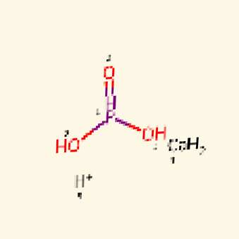 O=[PH](O)O.[CaH2].[H+]